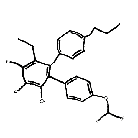 CCCc1ccc(-c2c(CC)c(F)c(F)c([O])c2-c2ccc(OC(F)F)cc2)cc1